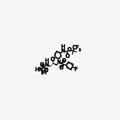 CC(C)NS(=O)(=O)NC[C@H]1CN(S(=O)(=O)c2ccc(F)cc2)c2cc(NC(=O)OC(C)(C)C(F)(F)F)ccc2O1